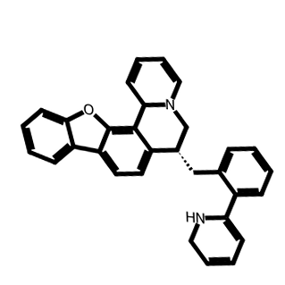 C1=CCNC(c2ccccc2C[C@H]2CN3C=CC=CC3c3c2ccc2c3oc3ccccc32)=C1